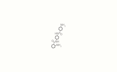 Nc1ccc(C(=O)Nc2ccc(NC(=O)c3ccccc3N)cc2)cc1